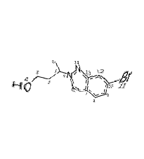 CC(CCO)n1cc2ccc(Br)cc2n1